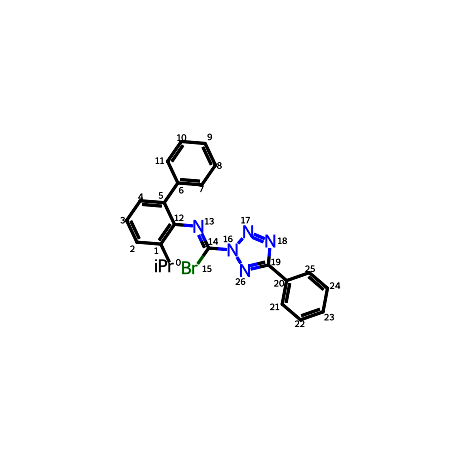 CC(C)c1cccc(-c2ccccc2)c1/N=C(\Br)n1nnc(-c2ccccc2)n1